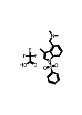 Cc1cn(S(=O)(=O)c2ccccc2)c2cccc(CN(C)C)c12.O=C(O)C(F)(F)F